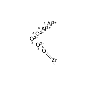 [Al+3].[Al+3].[O-2].[O-2].[O-2].[O]=[Zr]